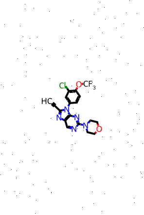 C#Cc1nc2cnc(N3CCOCC3)nc2n1-c1ccc(OC(F)(F)F)c(Cl)c1